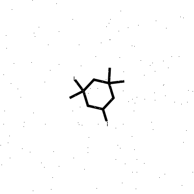 CC1(C)CC(I)CC(C)(I)C1